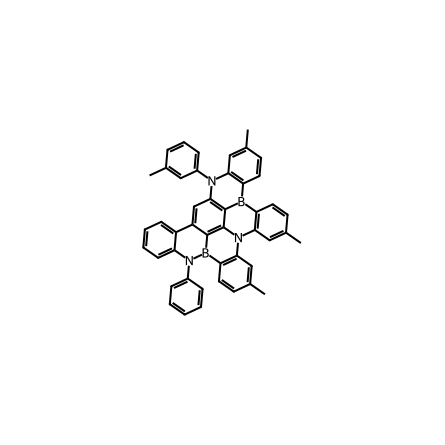 Cc1cccc(N2c3cc(C)ccc3B3c4ccc(C)cc4N4c5cc(C)ccc5B5c6c(cc2c3c64)-c2ccccc2N5c2ccccc2)c1